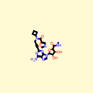 CNC(=O)C1OC(n2cnc3c(N)nc(C#CCN(C(=O)c4cnco4)C4CCC4)nc32)[C@H](O)[C@@H]1O